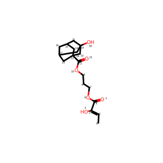 CC=C(O)C(=O)OCCCOC(=O)C12CC3CC(CC(O)(C3)C1)C2